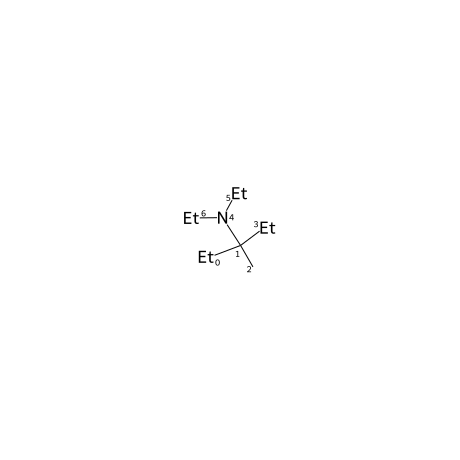 [CH2]CC(C)(CC)N(CC)CC